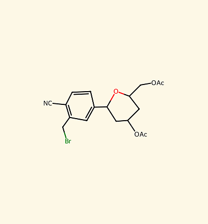 CC(=O)OCC1CC(OC(C)=O)CC(c2ccc(C#N)c(CBr)c2)O1